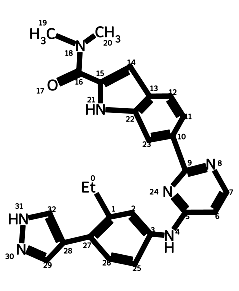 CCc1cc(Nc2ccnc(-c3ccc4cc(C(=O)N(C)C)[nH]c4c3)n2)ccc1-c1cn[nH]c1